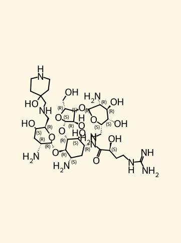 N=C(N)NCC[C@H](O)C(=O)N[C@@H]1C[C@H](N)[C@@H](O[C@H]2O[C@H](CNCC3(O)CCNCC3)[C@@H](O)C[C@H]2N)[C@H](O[C@@H]2O[C@H](CO)[C@@H](O[C@H]3O[C@@H](CN)[C@@H](O)[C@H](O)[C@H]3N)[C@H]2O)[C@H]1O